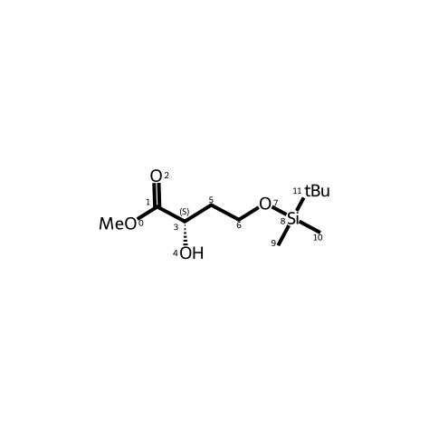 COC(=O)[C@@H](O)CCO[Si](C)(C)C(C)(C)C